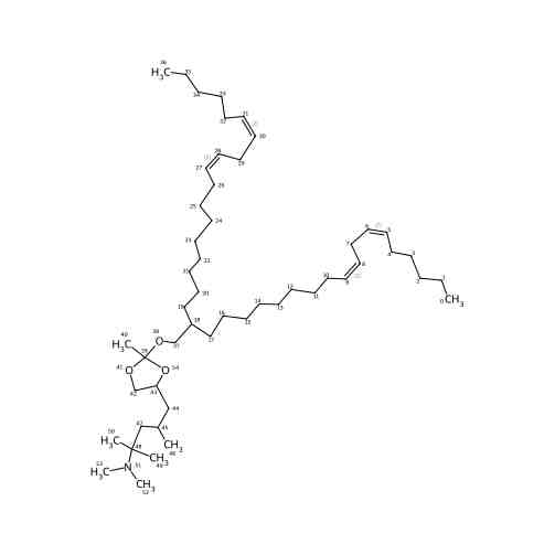 CCCCC/C=C\C/C=C\CCCCCCCCC(CCCCCCCC/C=C\C/C=C\CCCCC)COC1(C)OCC(CC(C)CC(C)(C)N(C)C)O1